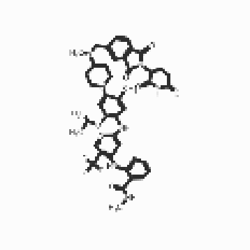 CNC(=O)c1ccccc1Nc1cc(Nc2cc(C)c(N3CCC(N(C)Cc4ccc5c(c4)C(=O)N(C4CCC(=O)NC4=O)C5=O)CC3)cc2OC(C)C)ncc1C(F)(F)F